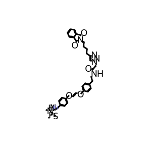 CN(/N=C/c1ccc(OC=COc2ccc(CCNC(=O)Cn3cc(CCCCN4C(=O)c5ccccc5C4=O)nn3)cc2)cc1)[PH](C)=S